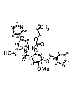 C=CCOC(=O)Nc1cc(OCc2ccccc2)c(OC)cc1C(=O)N1CC=C(c2cncnc2)C[C@H]1CO